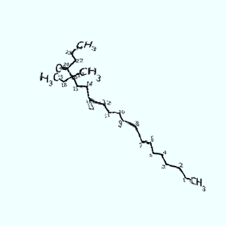 CCCCCCCCCCCCCCCCC(C)(CC)C(=O)CCC